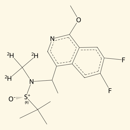 [2H]C([2H])([2H])N(C(C)c1cnc(OC)c2cc(F)c(F)cc12)[S@@+]([O-])C(C)(C)C